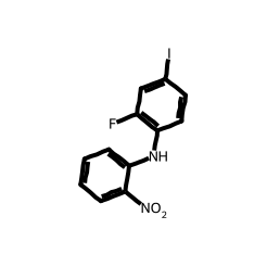 O=[N+]([O-])c1ccccc1Nc1ccc(I)cc1F